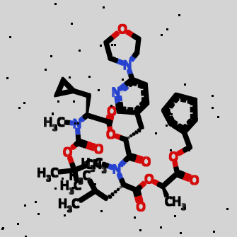 CC(C)C[C@@H](C(=O)O[C@H](C)C(=O)OCc1ccccc1)N(C)C(=O)[C@@H](Cc1ccc(N2CCOCC2)nc1)OC(=O)[C@H](CC1CC1)N(C)C(=O)OC(C)(C)C